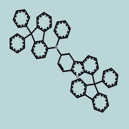 C1=CC(N(c2ccccc2)c2cccc3c2-c2ccccc2C3(c2ccccc2)c2ccccc2)Cc2c1oc1c(C3(c4ccccc4)c4ccccc4-c4ccccc43)cccc21